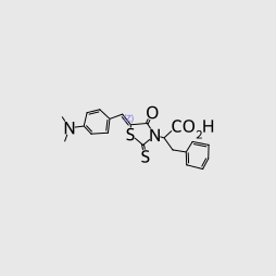 CN(C)c1ccc(/C=C2\SC(=S)N(C(Cc3ccccc3)C(=O)O)C2=O)cc1